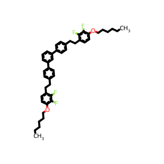 CCCCCCOc1ccc(CCc2ccc(-c3cccc(-c4ccc(CCc5ccc(OCCCCCC)c(F)c5F)cc4)c3)cc2)c(F)c1F